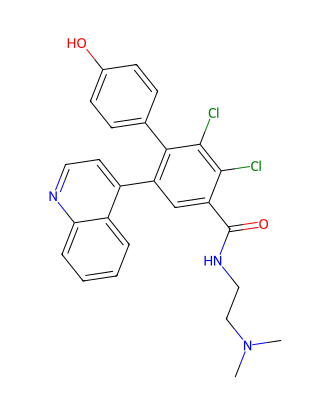 CN(C)CCNC(=O)c1cc(-c2ccnc3ccccc23)c(-c2ccc(O)cc2)c(Cl)c1Cl